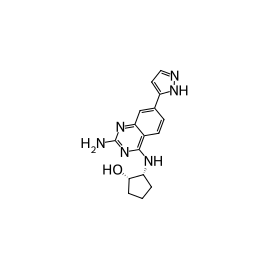 Nc1nc(N[C@@H]2CCC[C@@H]2O)c2ccc(-c3ccn[nH]3)cc2n1